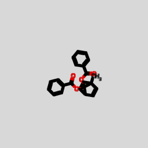 CC12C=CC(C=C1)C2(OC(=O)c1ccccc1)OC(=O)c1ccccc1